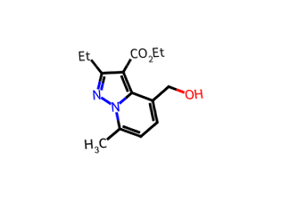 CCOC(=O)c1c(CC)nn2c(C)ccc(CO)c12